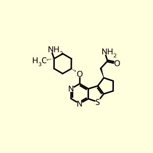 C[C@]1(N)CC[C@H](Oc2ncnc3sc4c(c23)[C@@H](CC(N)=O)CC4)CC1